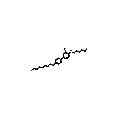 CCCCCCCCCc1ccc(-c2ccc(OCCCCCC)c(F)c2)cc1